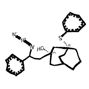 [N-]=[N+]=NC(C[C@]1(O)CC2CCC[C@@](Sc3ccccc3)(C2)C1)c1ccccc1